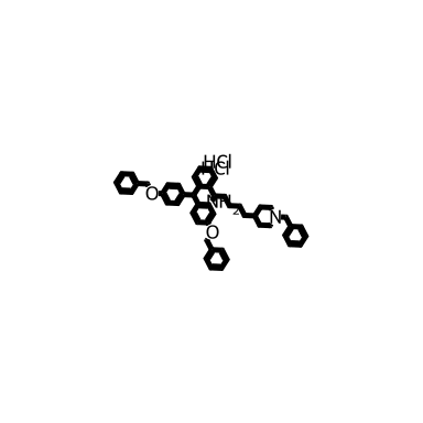 Cl.Cl.NC(CCCCC1CCN(Cc2ccccc2)CC1)c1ccccc1C(c1ccc(OCc2ccccc2)cc1)c1ccc(OCc2ccccc2)cc1